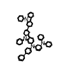 c1ccc(-c2ccc(N(c3cccc(N(c4ccccc4)c4ccccc4)c3)c3ccc4c5cc(-c6ccc7c8ccccc8n(-c8ccccc8)c7c6)ccc5n(-c5ccccc5)c4c3)cc2)cc1